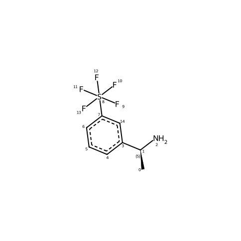 C[C@H](N)c1cccc(S(F)(F)(F)(F)F)c1